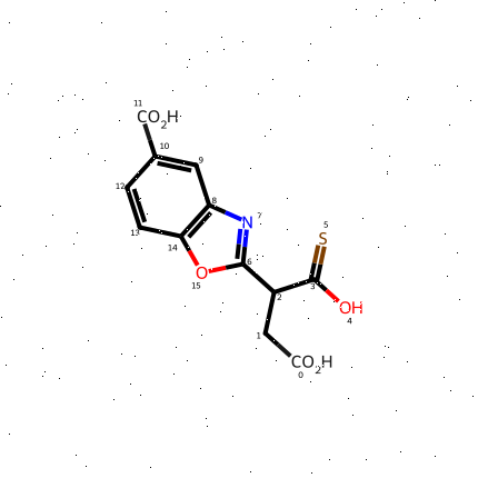 O=C(O)CC(C(O)=S)c1nc2cc(C(=O)O)ccc2o1